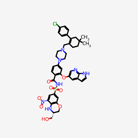 CC1(C)CCC(CN2CCN(c3ccc(C(=O)NS(=O)(=O)c4cc5c(c([N+](=O)[O-])c4)N[C@@H](CO)CO5)c(Oc4cnc5[nH]ccc5c4)c3)CC2)=C(c2ccc(Cl)cc2)C1